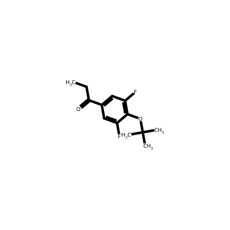 CCC(=O)c1cc(F)c(OC(C)(C)C)c(F)c1